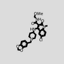 COCNC(=O)c1c(NC2CCN(Cc3ccc4c(c3)OCO4)CC2)c2cc(Cl)ccc2n(C)c1=O